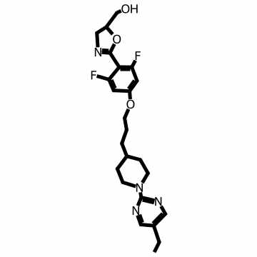 CCc1cnc(N2CCC(CCCOc3cc(F)c(C4=NCC(CO)O4)c(F)c3)CC2)nc1